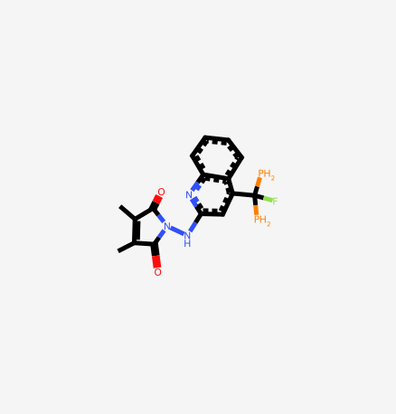 CC1=C(C)C(=O)N(Nc2cc(C(F)(P)P)c3ccccc3n2)C1=O